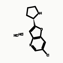 Cl.Cl.Clc1cnc2cc([C@@H]3CCCN3)oc2c1